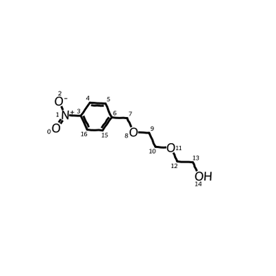 O=[N+]([O-])c1ccc(COCCOCCO)cc1